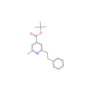 Cc1cc(C(=O)OC(C)(C)C)cc(CCc2ccccc2)n1